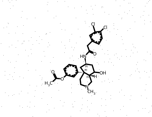 CC(=O)Oc1cccc([C@@]23CCN(C)C[C@H]2C(O)C[C@H](NC(=O)Cc2ccc(Cl)c(Cl)c2)C3)c1